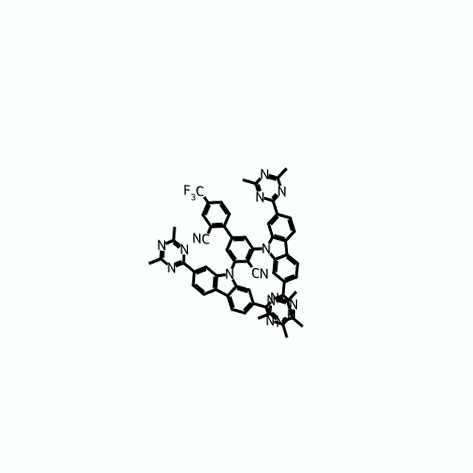 Cc1nc(C)nc(-c2ccc3c4ccc(-c5nc(C)nc(C)n5)cc4n(-c4cc(-c5ccc(C(F)(F)F)cc5C#N)cc(-n5c6cc(-c7nc(C)nc(C)n7)ccc6c6ccc(-c7nc(C)nc(C)n7)cc65)c4C#N)c3c2)n1